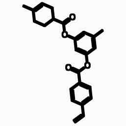 C=Cc1ccc(C(=O)Oc2cc(C)cc(OC(=O)C3CC=C(C)CC3)c2)cc1